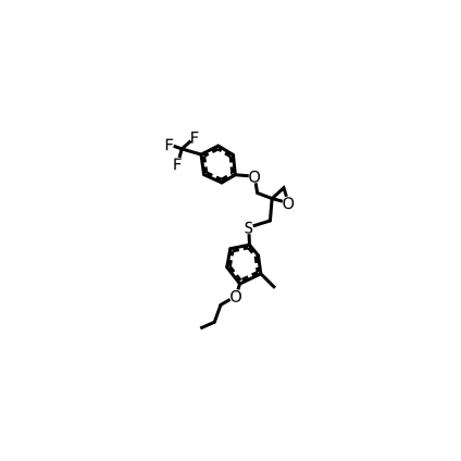 CCCOc1ccc(SCC2(COc3ccc(C(F)(F)F)cc3)CO2)cc1C